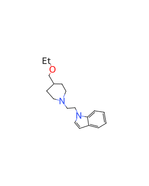 CCOCC1CCN(CCn2ccc3ccccc32)CC1